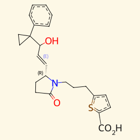 O=C(O)c1ccc(CCCN2C(=O)CC[C@@H]2/C=C/C(O)C2(c3ccccc3)CC2)s1